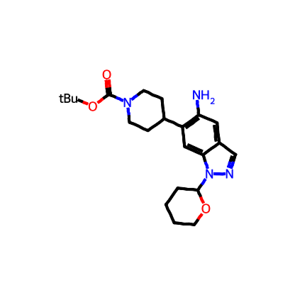 CC(C)(C)OC(=O)N1CCC(c2cc3c(cnn3C3CCCCO3)cc2N)CC1